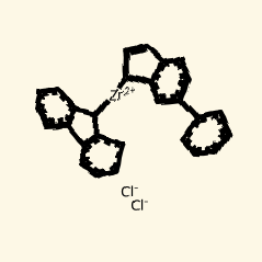 C1=C[CH]([Zr+2][CH]2c3ccccc3-c3ccccc32)c2cc(-c3ccccc3)ccc21.[Cl-].[Cl-]